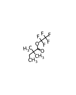 CCC(C)(C)C(=O)OC(F)(F)C(F)(F)F